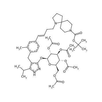 CC(=O)OC[C@H]1O[C@@H](Oc2n[nH]c(C(C)C)c2Cc2ccc(/C=C/CCN3CCCC34CCN(C(=O)OC(C)(C)C)CC4)cc2C)[C@H](OC(C)=O)[C@@H](OC(C)=O)[C@@H]1OC(C)=O